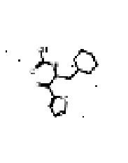 O=C(O)NC(CC1CCCCC1)C(=O)c1ccco1